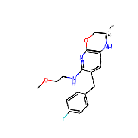 COCCNc1nc2c(cc1Cc1ccc(F)cc1)N[C@@H](C)CO2